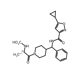 C[C@H](NC(=O)O)C(=O)N1CCC(C(NC(=O)c2cc(C3CC3)on2)c2ccccc2)CC1